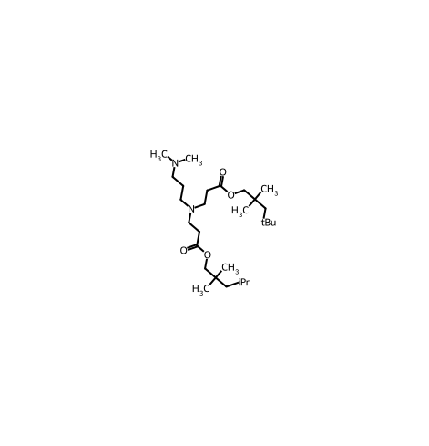 CC(C)CC(C)(C)COC(=O)CCN(CCCN(C)C)CCC(=O)OCC(C)(C)CC(C)(C)C